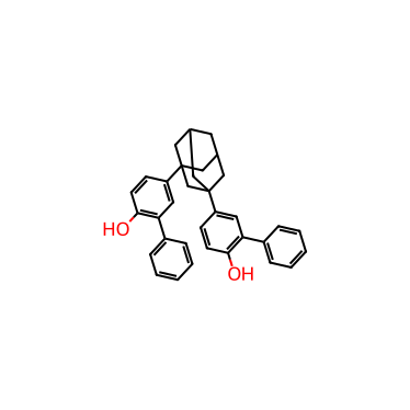 Oc1ccc(C23CC4CC(C2)CC(c2ccc(O)c(-c5ccccc5)c2)(C4)C3)cc1-c1ccccc1